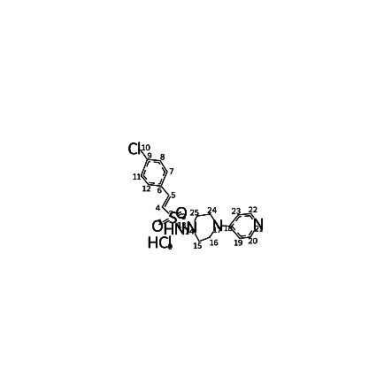 Cl.O=S(=O)(C=Cc1ccc(Cl)cc1)NN1CCN(c2ccncc2)CC1